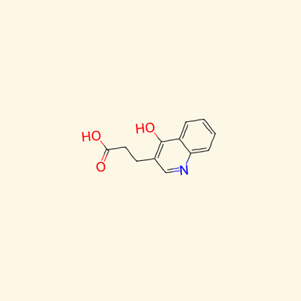 O=C(O)CCc1cnc2ccccc2c1O